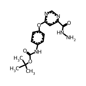 CC(C)(C)OC(=O)Nc1ccc(Oc2cc(C(=O)NN)ncn2)cc1